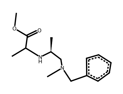 COC(=O)C(C)N[C@@H](C)CN(C)Cc1ccccc1